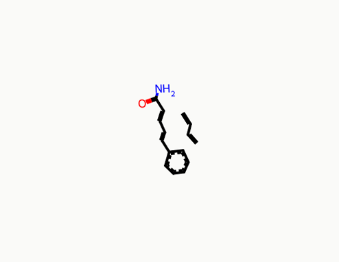 C=CC=C.NC(=O)C=CC=Cc1ccccc1